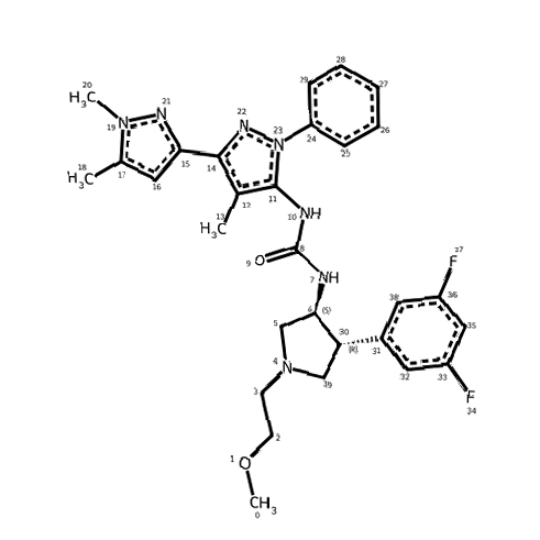 COCCN1C[C@@H](NC(=O)Nc2c(C)c(-c3cc(C)n(C)n3)nn2-c2ccccc2)[C@H](c2cc(F)cc(F)c2)C1